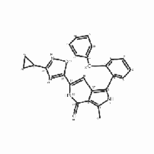 Cc1[nH]c(-c2ccccc2Oc2ccccc2)c2cc(-c3nc(C4CC4)no3)[nH]c(=O)c12